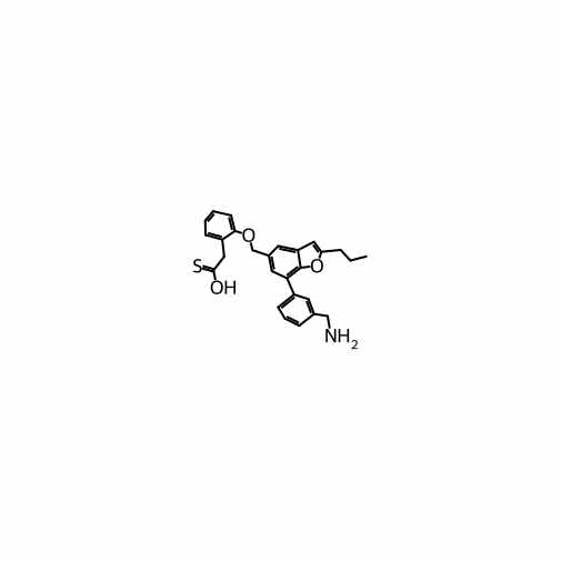 CCCc1cc2cc(COc3ccccc3CC(O)=S)cc(-c3cccc(CN)c3)c2o1